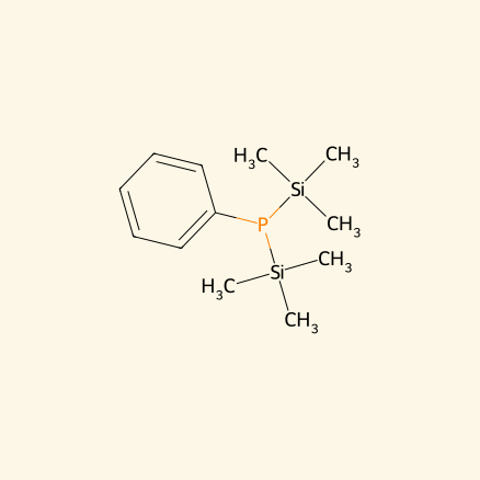 C[Si](C)(C)P(c1ccccc1)[Si](C)(C)C